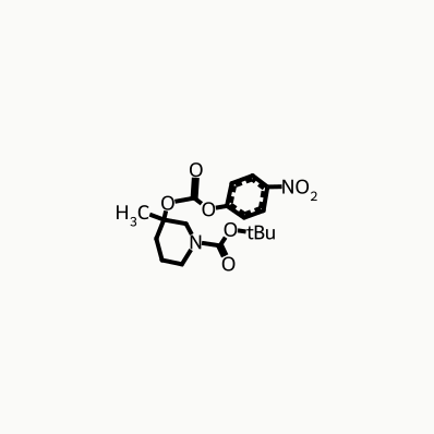 CC(C)(C)OC(=O)N1CCCC(C)(OC(=O)Oc2ccc([N+](=O)[O-])cc2)C1